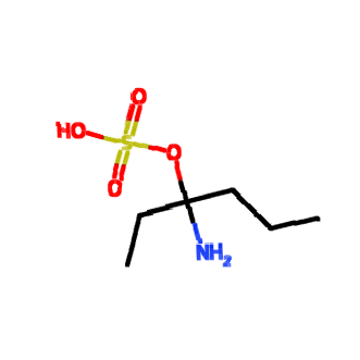 CCCC(N)(CC)OS(=O)(=O)O